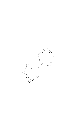 c1cn(-c2c[nH]nn2)nn1